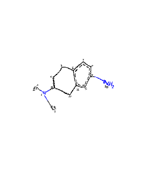 CCN(CC)C1CCc2ccc(N)cc2C1